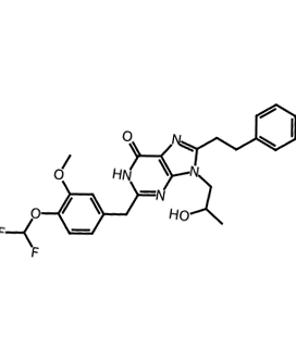 COc1cc(Cc2nc3c(nc(CCc4ccccc4)n3CC(C)O)c(=O)[nH]2)ccc1OC(F)F